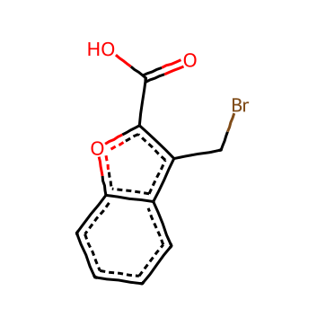 O=C(O)c1oc2ccccc2c1CBr